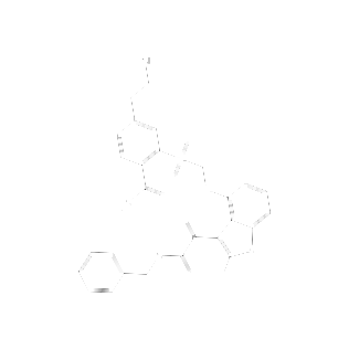 CCc1[nH]c2cccc(OCS(=O)(=O)c3cc(CCN)ccc3C(N)=O)c2c1C(=O)C(=O)NCc1ccccc1